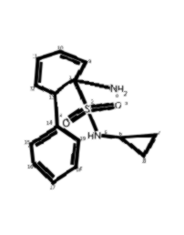 NC1(S(=O)(=O)NC2CC2)C=CC=CC1c1ccccc1